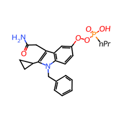 CCCP(=O)(O)OOc1ccc2c(c1)c(CC(N)=O)c(C1CC1)n2Cc1ccccc1